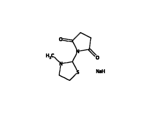 CN1CCSC1N1C(=O)CCC1=O.[NaH]